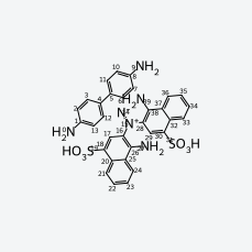 Nc1ccc(-c2ccc(N)cc2)cc1.[N-]=[N+](c1cc(S(=O)(=O)O)c2ccccc2c1N)c1cc(S(=O)(=O)O)c2ccccc2c1N